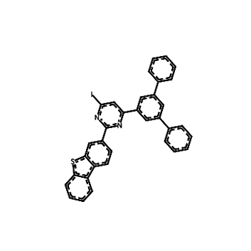 Ic1cc(-c2cc(-c3ccccc3)cc(-c3ccccc3)c2)nc(-c2ccc3c(c2)sc2ccccc23)n1